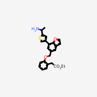 CCOC(=O)Cc1ccccc1OCc1cc(-c2csc(C(C)N)c2)c2occc2c1